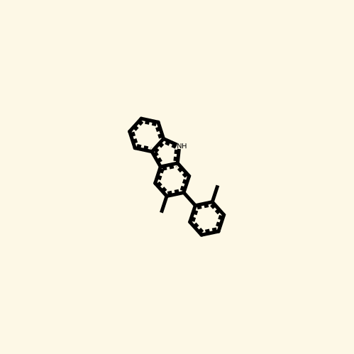 Cc1ccccc1-c1cc2[nH]c3ccccc3c2cc1C